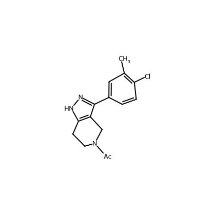 CC(=O)N1CCc2[nH]nc(-c3ccc(Cl)c(C)c3)c2C1